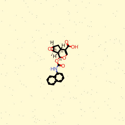 C[C@]12O[C@H]1C[C@@H]1C(C(=O)O)=CO[C@@H](OC(=O)Nc3cccc4ccccc34)[C@H]12